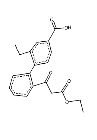 CCOC(=O)CC(=O)c1ccccc1-c1ccc(C(=O)O)cc1CC